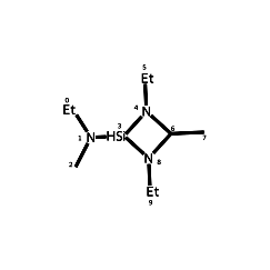 CCN(C)[SiH]1N(CC)C(C)N1CC